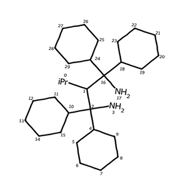 [CH2]C(C)C(C(N)(C1CCCCC1)C1CCCCC1)C(N)(C1CCCCC1)C1CCCCC1